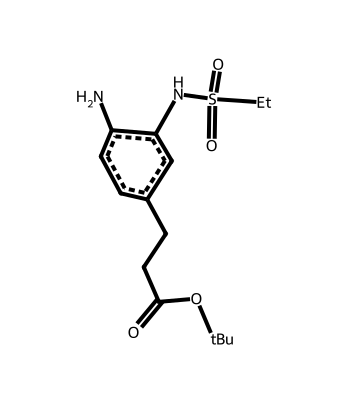 CCS(=O)(=O)Nc1cc(CCC(=O)OC(C)(C)C)ccc1N